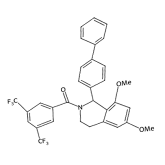 COc1cc2c(c(OC)c1)C(c1ccc(-c3ccccc3)cc1)N(C(=O)c1cc(C(F)(F)F)cc(C(F)(F)F)c1)CC2